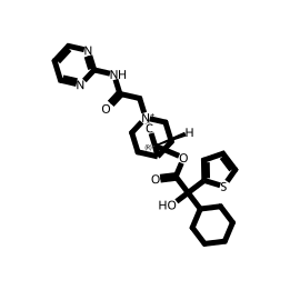 O=C(C[N+]12CCC(CC1)[C@@H](OC(=O)C(O)(c1cccs1)C1CCCCC1)C2)Nc1ncccn1